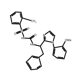 COc1ccccc1-n1ccnc1C(Cc1ccccc1)NC(=O)NS(=O)(=O)c1ccccc1C